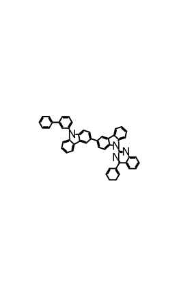 C1=CC(c2nc(-n3c4ccccc4c4cc(-c5ccc6c(c5)c5ccccc5n6-c5cccc(-c6ccccc6)c5)ccc43)nc3ccccc23)=CCC1